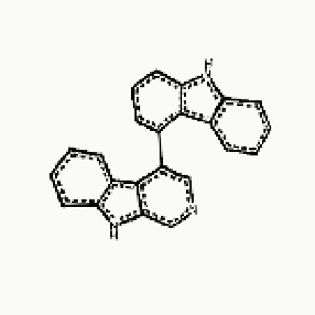 c1ccc2c(c1)[nH]c1cccc(-c3cncc4[nH]c5ccccc5c34)c12